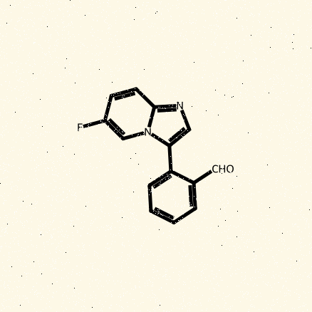 O=Cc1ccccc1-c1cnc2ccc(F)cn12